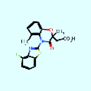 Cc1cccc2c1N(c1nc3c(F)cccc3s1)C(=O)C(C)(CC(=O)O)O2